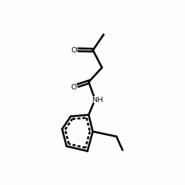 CCc1ccccc1NC(=O)CC(C)=O